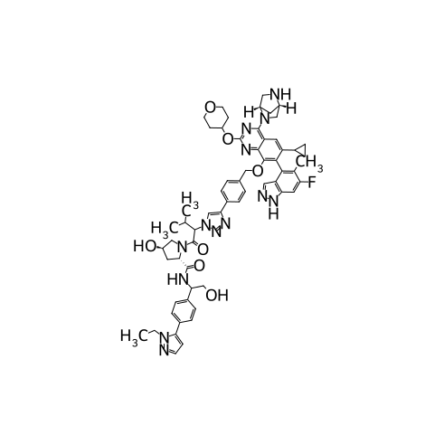 CCn1nccc1-c1ccc(C(CO)NC(=O)[C@@H]2C[C@@H](O)CN2C(=O)C(C(C)C)n2cc(-c3ccc(COc4c(-c5c(C)c(F)cc6[nH]ncc56)c(C5CC5)cc5c(N6C[C@@H]7C[C@H]6CN7)nc(OC6CCOCC6)nc45)cc3)nn2)cc1